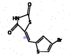 O=C1NC(=O)/C(=C/c2cc(Br)cs2)S1